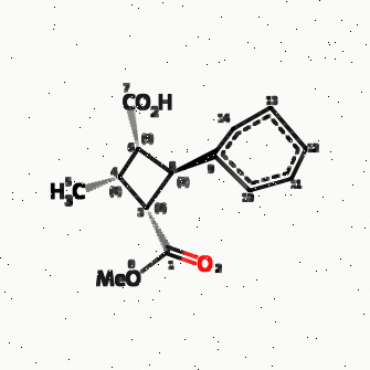 COC(=O)[C@@H]1[C@H](C)[C@H](C(=O)O)[C@H]1c1ccccc1